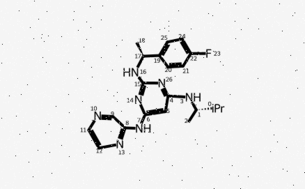 CC(C)[C@H](C)Nc1cc(Nc2cnccn2)nc(N[C@@H](C)c2ccc(F)cc2)n1